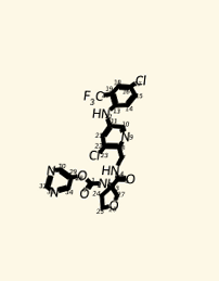 O=C(N[C@@]1(C(=O)NCc2ncc(Nc3ccc(Cl)cc3C(F)(F)F)cc2Cl)CCOC1)Oc1cncnc1